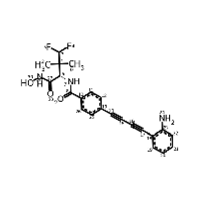 CC(C)(C(F)F)[C@H](NC(=O)c1ccc(C#CC#Cc2ccccc2N)cc1)C(=O)NO